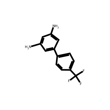 Nc1cc(N)cc(-c2ccc(C(F)(F)F)cc2)c1